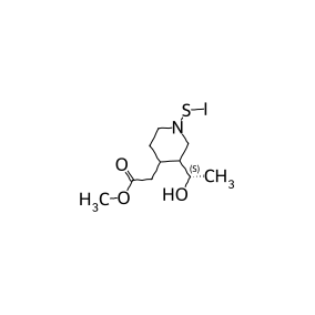 COC(=O)CC1CCN(SI)CC1[C@H](C)O